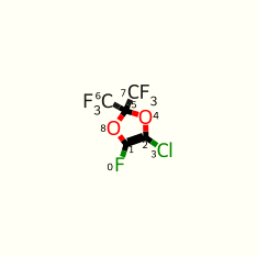 FC1=C(Cl)OC(C(F)(F)F)(C(F)(F)F)O1